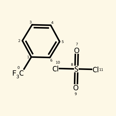 FC(F)(F)c1ccccc1.O=S(=O)(Cl)Cl